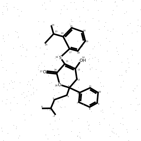 CC(C)CCC1(c2ccccc2)CC(O)=C(Sc2ccccc2C(C)C)C(=O)O1